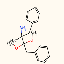 COC(Cc1ccccc1)(OC)C(C)(N)Cc1ccccc1